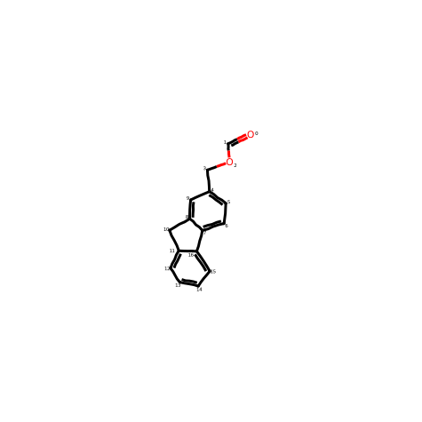 O=COCc1ccc2c(c1)Cc1ccccc1-2